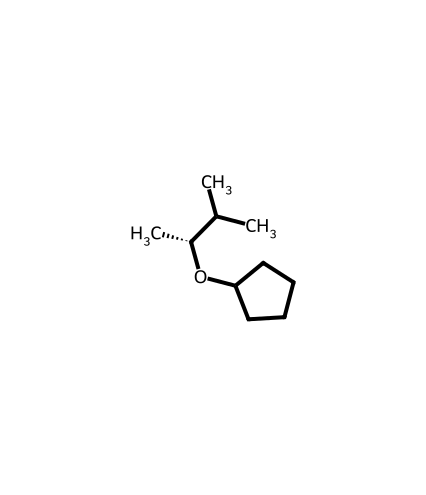 CC(C)[C@@H](C)OC1CCCC1